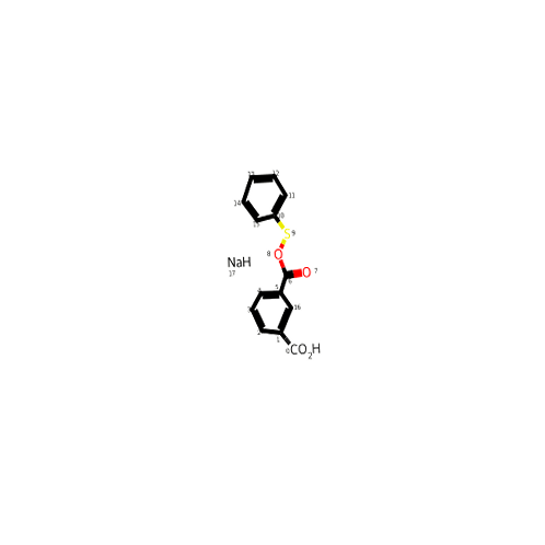 O=C(O)c1cccc(C(=O)OSc2ccccc2)c1.[NaH]